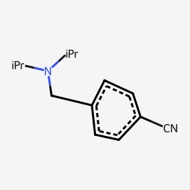 CC(C)N(Cc1ccc(C#N)cc1)C(C)C